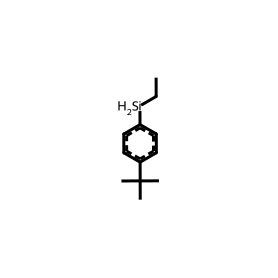 CC[SiH2]c1ccc(C(C)(C)C)cc1